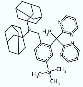 C[Si](C)(C)c1ccc(CP(C23CC4CC(CC(C4)C2)C3)C23CC4CC(CC(C4)C2)C3)c(C(P)(c2ncccn2)c2ncccn2)c1